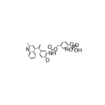 C=C(c1ccc(OC)c(NC(=O)OCc2ccc(OP(=O)(O)O)cc2)c1)c1cc(C)nc2ccccc12